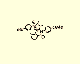 CCCCc1ccc(S(=O)(=O)N(C)C(C)c2nc3c(C)cccc3c(=O)n2-c2ccc(OC)cc2)cc1